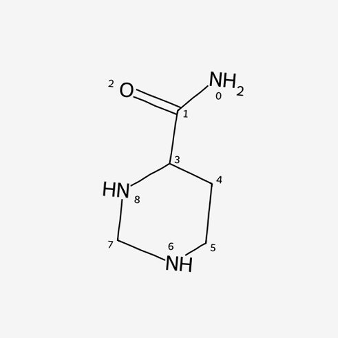 NC(=O)C1CCNCN1